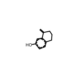 C=C1CCCc2ccc(O)cc21